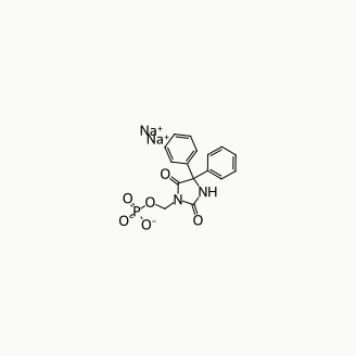 O=C1NC(c2ccccc2)(c2ccccc2)C(=O)N1COP(=O)([O-])[O-].[Na+].[Na+]